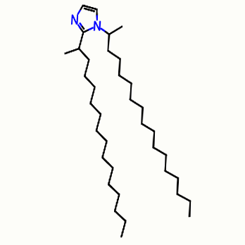 CCCCCCCCCCCCCCCC(C)n1ccnc1C(C)CCCCCCCCCCCCCC